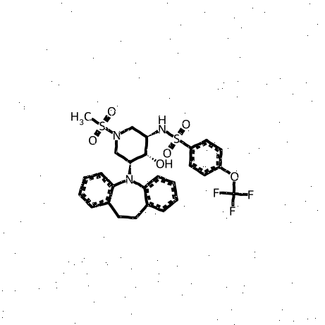 CS(=O)(=O)N1C[C@@H](NS(=O)(=O)c2ccc(OC(F)(F)F)cc2)[C@H](O)[C@@H](N2c3ccccc3CCc3ccccc32)C1